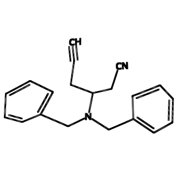 C#CCC(CC#N)N(Cc1ccccc1)Cc1ccccc1